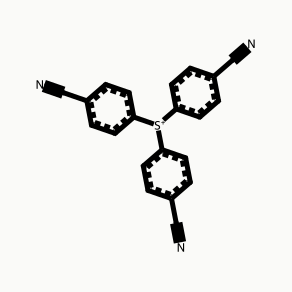 N#Cc1ccc([S+](c2ccc(C#N)cc2)c2ccc(C#N)cc2)cc1